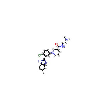 Cc1ccc2[nH]c(-c3cc(N4CCC[C@H](C(=O)NCCN(C)C)C4)ccc3Cl)nc2c1